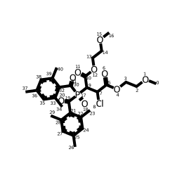 COCCOC(=O)C(Cl)C(C(=O)OCCOC)P(=O)(C(=O)c1c(C)cc(C)cc1C)C(=O)c1c(C)cc(C)cc1C